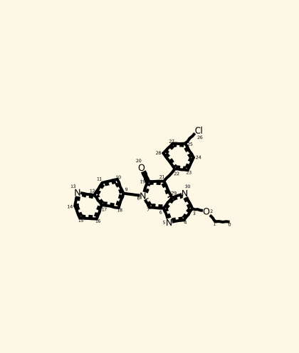 CCOc1cnc2cn(-c3ccc4ncccc4c3)c(=O)c(-c3ccc(Cl)cc3)c2n1